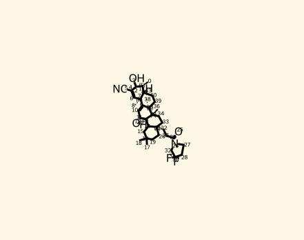 C[C@@H]1C(O)C(C#N)=C[C@]2(C)C3=CC(=O)[C@H]4C5CC(C)(C)CC[C@]5(CCC(=O)N5CCC(F)(F)C5)CC[C@@]4(C)[C@]3(C)CC[C@@H]12